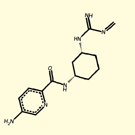 C=NC(=N)N[C@@H]1CCC[C@H](NC(=O)c2ccc(N)cn2)C1